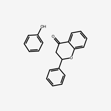 O=C1CC(c2ccccc2)Oc2ccccc21.Oc1ccccc1